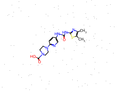 Cc1nc(NC(=O)Nc2ccc(N3CCN(C(=O)O)CC3)nc2)sc1C